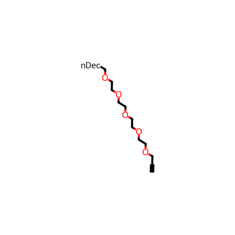 C#CCOCCOCCOCCOCCOCCCCCCCCCCC